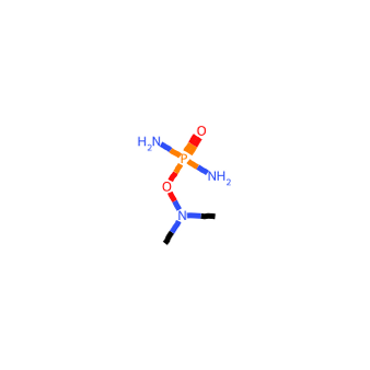 CN(C)OP(N)(N)=O